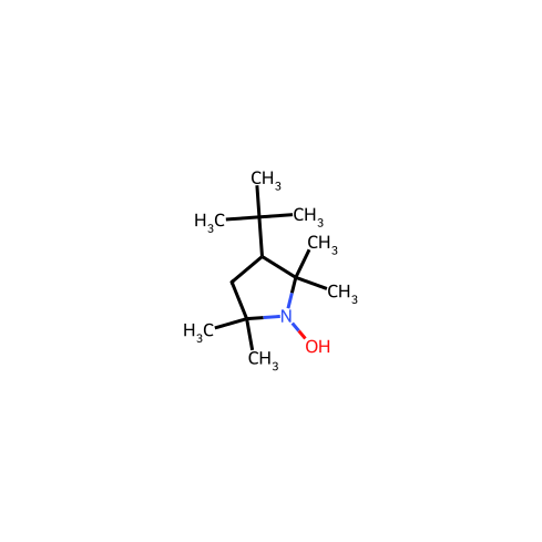 CC(C)(C)C1CC(C)(C)N(O)C1(C)C